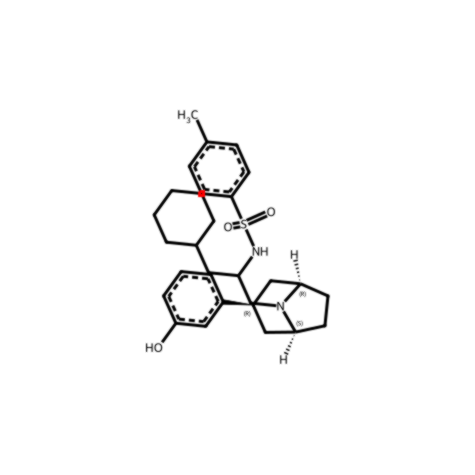 Cc1ccc(S(=O)(=O)NC(CC2CCCCC2)CN2[C@@H]3CC[C@H]2C[C@@H](c2cccc(O)c2)C3)cc1